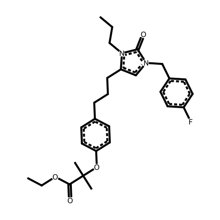 CCCn1c(CCCc2ccc(OC(C)(C)C(=O)OCC)cc2)cn(Cc2ccc(F)cc2)c1=O